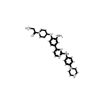 NCC(=O)N1CCC(Oc2ccc(-c3ccnc(Nc4ccc(N5CCOCC5)cc4)n3)cc2N)CC1